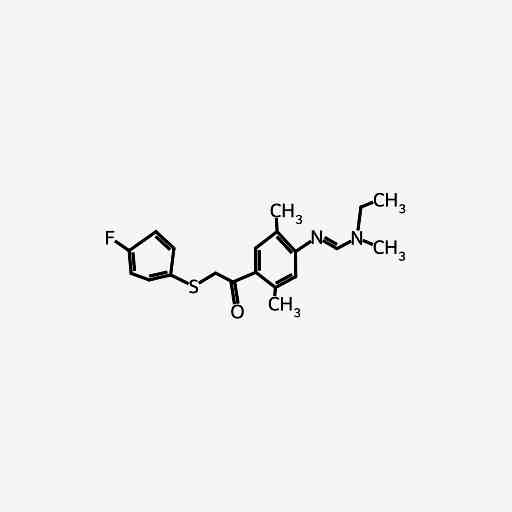 CCN(C)/C=N/c1cc(C)c(C(=O)CSc2ccc(F)cc2)cc1C